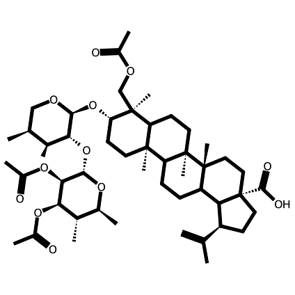 C=C(C)[C@@H]1CC[C@]2(C(=O)O)CC[C@]3(C)C(CCC4[C@@]5(C)CC[C@H](O[C@@H]6OC[C@H](C)[C@H](C)[C@H]6O[C@@H]6O[C@@H](C)[C@H](C)[C@@H](OC(C)=O)[C@H]6OC(C)=O)[C@@](C)(COC(C)=O)C5CC[C@]43C)C12